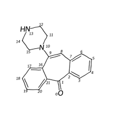 O=c1c2ccccc2cc(N2CCNCC2)c2ccccc12